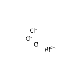 [Cl-].[Cl-].[Cl-].[Hf+3]